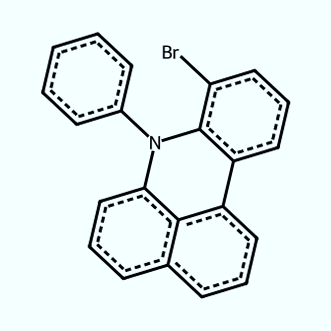 Brc1cccc2c1N(c1ccccc1)c1cccc3cccc-2c13